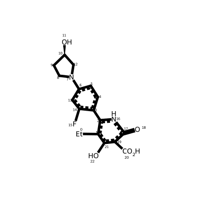 CCc1c(-c2ccc(N3CC[C@@H](O)C3)cc2F)[nH]c(=O)c(C(=O)O)c1O